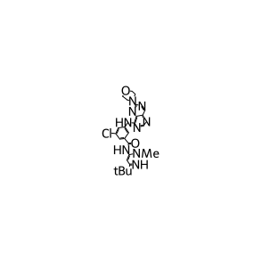 CN/C(=C\C(=N)C(C)(C)C)NC(=O)c1cc(Cl)cc(Nc2ncnc3cnc(N4CCOCC4)nc23)c1